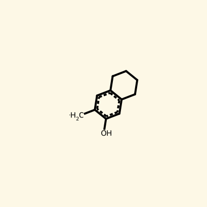 [CH2]c1cc2c(cc1O)CCCC2